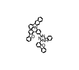 c1ccc(C2N=C(c3ccc(-n4c5ccccc5c5cc6ccccc6cc54)c(-c4cccc5c4oc4ccccc45)c3)N=C(c3cccc4c3oc3ccccc34)N2)cc1